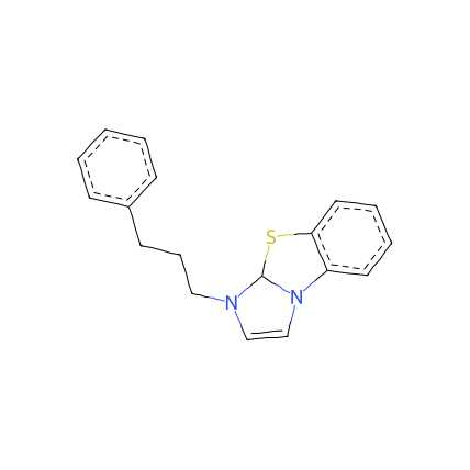 C1=CN2c3ccccc3SC2N1CCCc1ccccc1